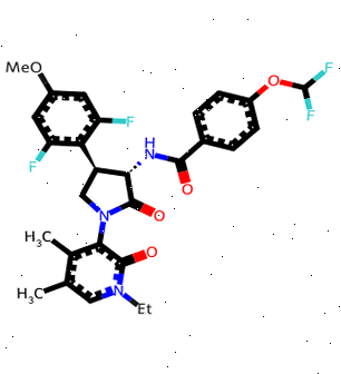 CCn1cc(C)c(C)c(N2C[C@@H](c3c(F)cc(OC)cc3F)[C@H](NC(=O)c3ccc(OC(F)F)cc3)C2=O)c1=O